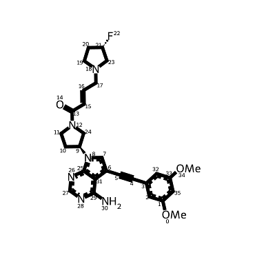 COc1cc(C#Cc2cn([C@H]3CCN(C(=O)/C=C/CN4CC[C@H](F)C4)C3)c3ncnc(N)c23)cc(OC)c1